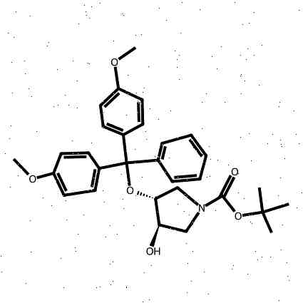 COc1ccc(C(O[C@@H]2CN(C(=O)OC(C)(C)C)C[C@H]2O)(c2ccccc2)c2ccc(OC)cc2)cc1